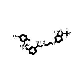 Nc1ccc(F)c(S(=O)(=O)Nc2cccc([C@@H](O)CNCCOc3ccc4c(C(F)(F)F)n[nH]c4c3)c2)c1